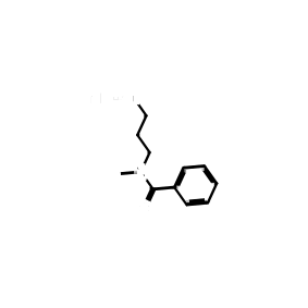 CCCCCCCCCCN(C)C(=O)c1ccccc1